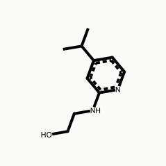 CC(C)c1ccnc(NCCO)c1